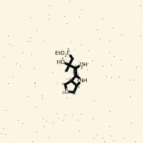 CCOC(=O)CC(C)(O)/C(O)=C1/NC2COCC12